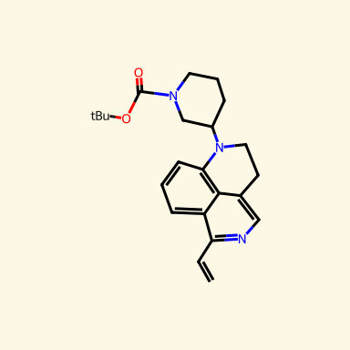 C=Cc1ncc2c3c(cccc13)N(C1CCCN(C(=O)OC(C)(C)C)C1)CC2